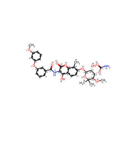 COc1cccc(Oc2cccc(C(=O)Nc3c(O)c4ccc(O[C@@H]5OC(C)(C)[C@H](OC)[C@@H](OC(N)=O)[C@H]5O)c(C)c4oc3=O)c2)c1